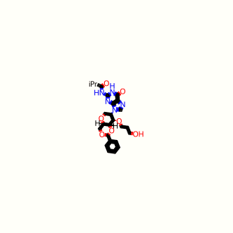 CC(C)C(=O)Nc1nc2c(ncn2[C@@H]2CO[C@@H]3COC(c4ccccc4)O[C@H]3[C@H]2OCCCO)c(=O)[nH]1